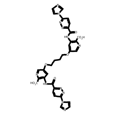 O=C(Nc1cc(OCCCCOc2cnc(C(=O)O)c(NC(=O)c3ccc(-n4ccnc4)nn3)c2)cnc1C(=O)O)c1ccc(-n2ccnc2)nn1